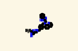 Cc1nc(CNCc2ccc(CN(Cc3nc4ccccc4[nH]3)C3CCCc4cccnc43)cc2)c[nH]1